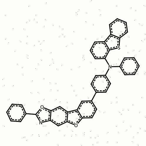 c1ccc(-c2nc3cc4oc5ccc(-c6ccc(N(c7ccccc7)c7cccc8c7sc7ccccc78)cc6)cc5c4cc3o2)cc1